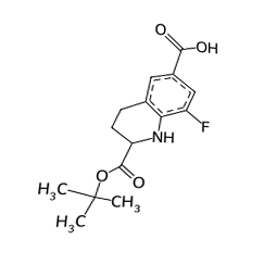 CC(C)(C)OC(=O)C1CCc2cc(C(=O)O)cc(F)c2N1